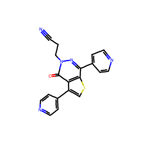 N#CCCn1nc(-c2ccncc2)c2scc(-c3ccncc3)c2c1=O